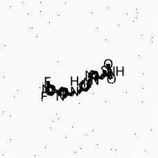 O=C1NC(=O)/C(=C/c2ccnc(N3CCC(CNCc4ccc(-c5cc(F)nc(F)c5)nc4)CC3)n2)S1